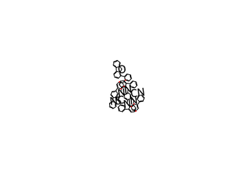 N#Cc1c(-n2c3ccccc3c3ccccc32)c(-n2c3ccccc3c3ccccc32)c(C#N)c(-n2c3cc(-c4ccccc4-c4cccc5c4oc4ccccc45)ccc3c3ccc4c5ccccc5sc4c32)c1-n1c2ccccc2c2ccccc21